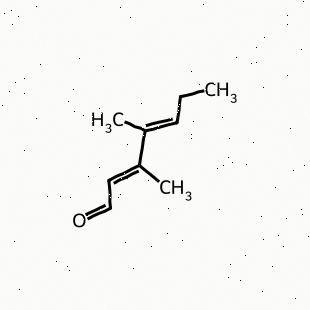 CC/C=C(C)/C(C)=C/C=O